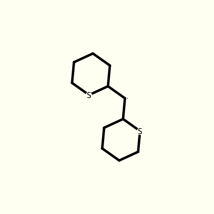 [CH](C1CCCCS1)C1CCCCS1